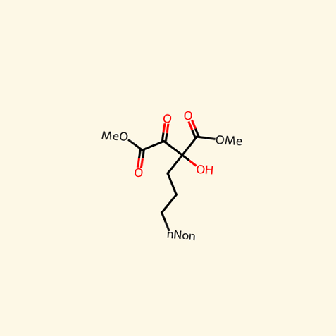 CCCCCCCCCCCCC(O)(C(=O)OC)C(=O)C(=O)OC